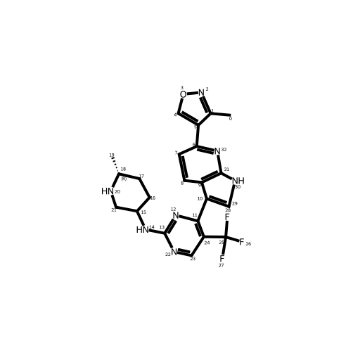 Cc1nocc1-c1ccc2c(-c3nc(NC4CC[C@@H](C)NC4)ncc3C(F)(F)F)c[nH]c2n1